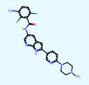 CN1CCN(c2ccc(-c3cc4cc(NC(=O)c5c(F)ccc(N)c5F)cnc4[nH]3)cn2)CC1